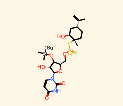 C=C(C)[C@@H]1CC[C@](C)(S[PH](=S)OC[C@H]2O[C@@H](n3ccc(=O)[nH]c3=O)[C@H](O)C2O[Si](C)(C)C(C)(C)C)[C@@H](O)C1